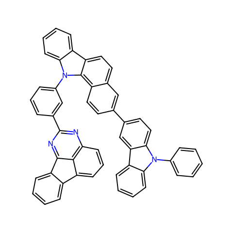 c1ccc(-n2c3ccccc3c3cc(-c4ccc5c(ccc6c7ccccc7n(-c7cccc(-c8nc9c%10c(cccc%10n8)-c8ccccc8-9)c7)c56)c4)ccc32)cc1